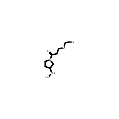 CC(C)(C)COCCC(=O)N1CCC(NC(C)(C)C)C1